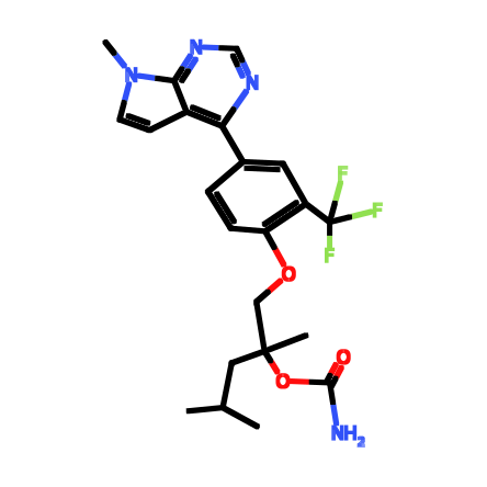 CC(C)CC(C)(COc1ccc(-c2ncnc3c2ccn3C)cc1C(F)(F)F)OC(N)=O